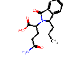 CCCC1c2ccccc2C(=O)N1C(CCC(N)=O)C(=O)O